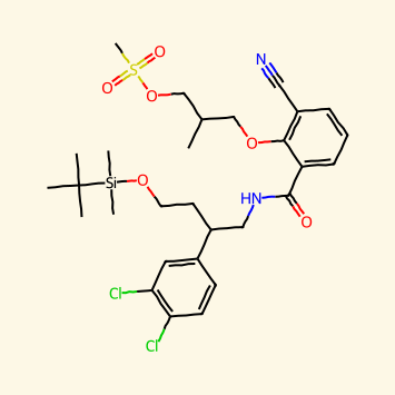 CC(COc1c(C#N)cccc1C(=O)NCC(CCO[Si](C)(C)C(C)(C)C)c1ccc(Cl)c(Cl)c1)COS(C)(=O)=O